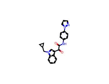 O=C(Nc1ccc(-n2cccn2)cc1)C(=O)c1cn(CC2CC2)c2ccccc12